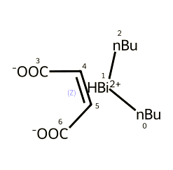 CCC[CH2][BiH+2][CH2]CCC.O=C([O-])/C=C\C(=O)[O-]